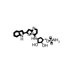 NS(=O)(=O)OC[C@H]1C[C@@H](Nc2ccnc3cc(-c4cc5ccccc5[nH]4)nn23)[C@H](O)[C@@H]1O